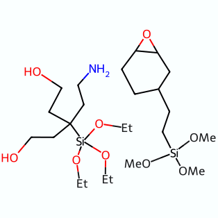 CCO[Si](OCC)(OCC)C(CCN)(CCO)CCO.CO[Si](CCC1CCC2OC2C1)(OC)OC